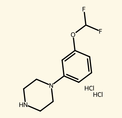 Cl.Cl.FC(F)Oc1cccc(N2CCNCC2)c1